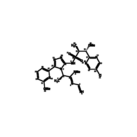 CN/C(=N\C=N)[C@@H](C)n1c(NS(=O)(=O)[C@@H](C)[C@H](OC)c2ncc(Cl)cn2)nnc1-c1cccc(OC)n1